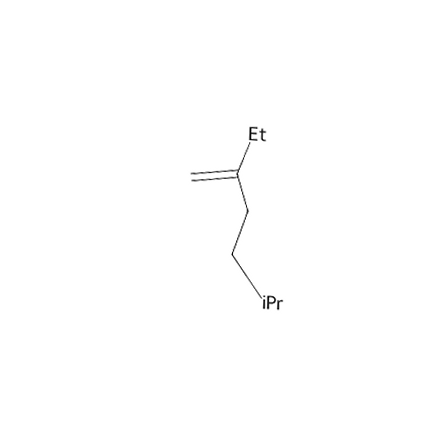 [CH2]CC(=C)CCC(C)C